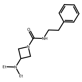 CCN(CC)C1CN(C(=O)NCCc2ccccc2)C1